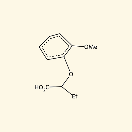 CCC(Oc1ccccc1OC)C(=O)O